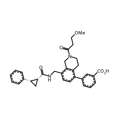 COCCC(=O)N1CCc2c(-c3cccc(C(=O)O)c3)ccc(CNC(=O)[C@@H]3C[C@@H]3c3ccccc3)c2C1